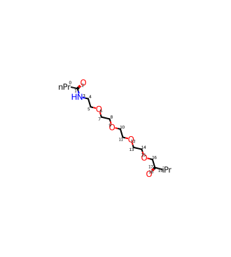 CCCC(=O)NCCOCCOCCOCCOCC(=O)C(C)C